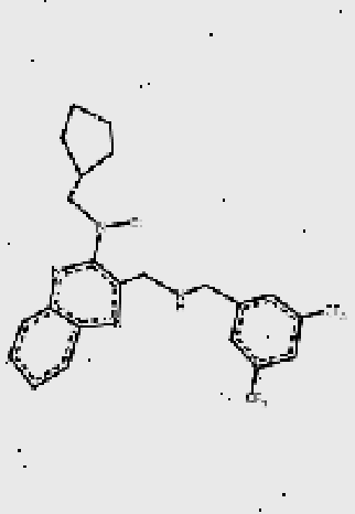 CCN(CC1CCCC1)c1nc2ccccc2nc1CNCc1cc(C(F)(F)F)cc(C(F)(F)F)c1